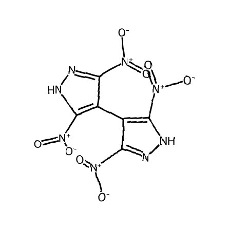 O=[N+]([O-])c1n[nH]c([N+](=O)[O-])c1-c1c([N+](=O)[O-])n[nH]c1[N+](=O)[O-]